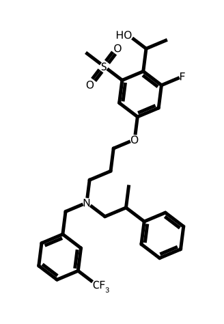 CC(O)c1c(F)cc(OCCCN(Cc2cccc(C(F)(F)F)c2)CC(C)c2ccccc2)cc1S(C)(=O)=O